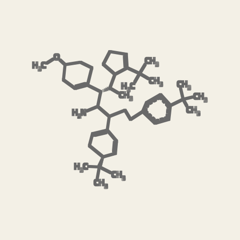 COC1CC=C([C@H](C(C)C2CCC=C2C(C)(C)C)C(N)C(CCc2ccc(C(C)(C)C)cc2)C2=CC[C@H](C(C)(C)C)C=C2)CC1